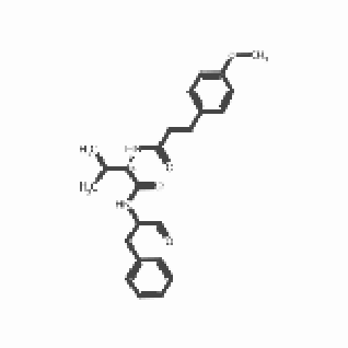 COc1ccc(CCC(=O)N[C@H](C(=O)NC(C=O)Cc2ccccc2)C(C)C)cc1